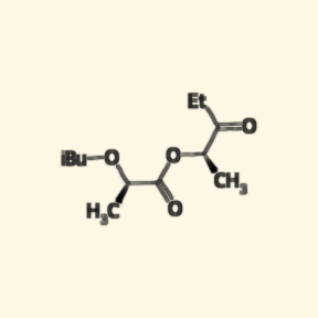 CCC(=O)[C@@H](C)OC(=O)[C@@H](C)OC(C)CC